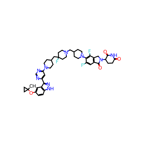 CC1(Oc2ccc3[nH]nc(-c4cc(N5CCC(CC6(F)CCN(CC7CCN(c8c(F)cc9c(c8F)CN(C8CCC(=O)NC8=O)C9=O)CC7)CC6)CC5)ncn4)c3c2)CC1